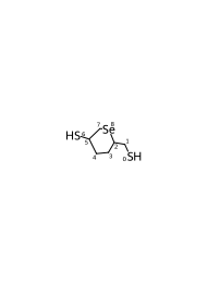 SCC1CCC(S)C[Se]1